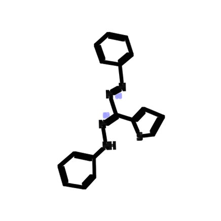 c1ccc(/N=N/C(=N/Nc2ccccc2)c2cccs2)cc1